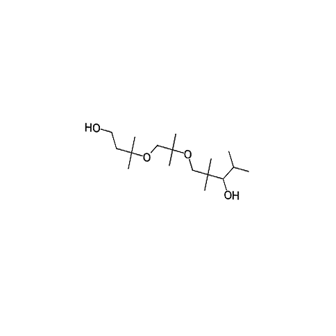 CC(C)C(O)C(C)(C)COC(C)(C)COC(C)(C)CCO